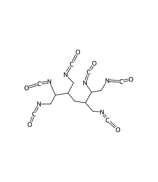 O=C=NCC(CC(CN=C=O)C(CN=C=O)N=C=O)C(CN=C=O)N=C=O